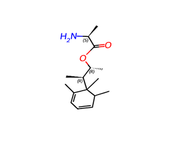 CC1=CC=CC(C)C1(C)[C@@H](C)[C@@H](C)OC(=O)[C@H](C)N